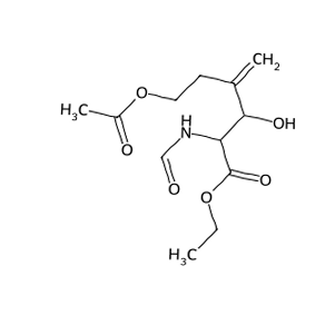 C=C(CCOC(C)=O)C(O)C(NC=O)C(=O)OCC